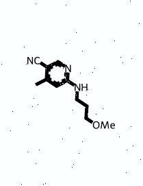 COCCCNc1cc(C)c(C#N)cn1